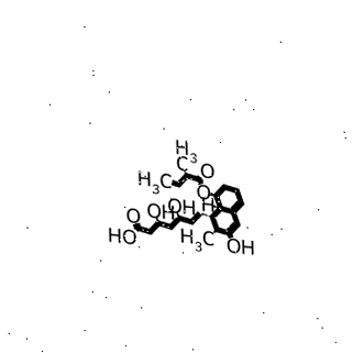 CC[C@H](C)C(=O)O[C@H]1CCC=C2C=C(O)[C@H](C)[C@H](CC[C@@H](O)C[C@@H](O)CC(=O)O)[C@H]21